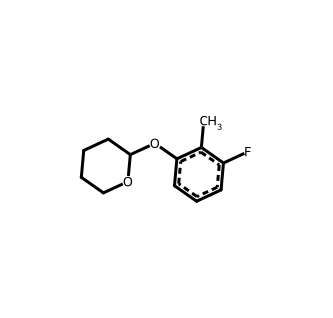 Cc1c(F)cccc1OC1CCCCO1